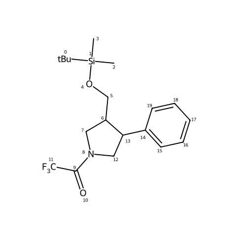 CC(C)(C)[Si](C)(C)OCC1CN(C(=O)C(F)(F)F)CC1c1ccccc1